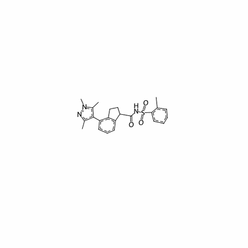 Cc1ccccc1S(=O)(=O)NC(=O)C1CCc2c(-c3c(C)nn(C)c3C)cccc21